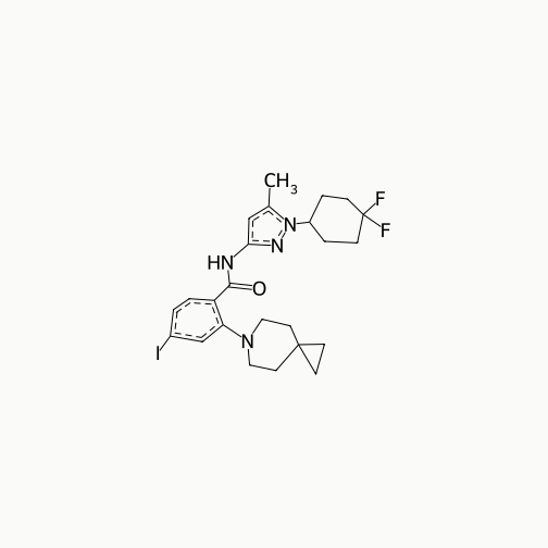 Cc1cc(NC(=O)c2ccc(I)cc2N2CCC3(CC2)CC3)nn1C1CCC(F)(F)CC1